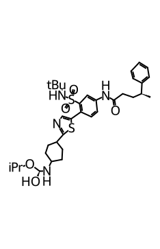 CC(C)O[C@H](O)NC1CCC(c2ncc(-c3ccc(NC(=O)CC[C@H](C)c4ccccc4)cc3S(=O)(=O)NC(C)(C)C)s2)CC1